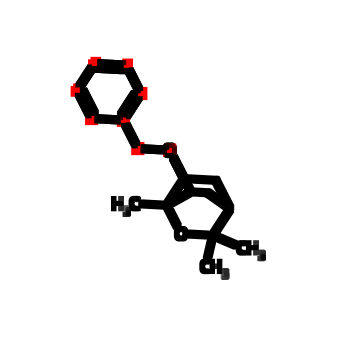 CC1(C)OC2(C)C(OCc3ccccc3)CC1CC2OCc1ccccc1